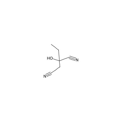 CCC(O)(C#N)CC#N